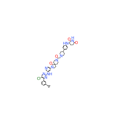 O=C1CCC(Nc2ccc(C3CCN(CC(=O)N4CCC5(CC4)CCN(c4cncc(Nc6ncc(Cl)c(-c7cccc(C8CC8)c7)n6)c4)C5=O)CC3)cc2)C(=O)N1